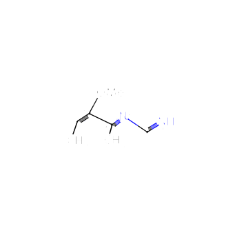 C/C=C(OC)\C(C)=N\C=N